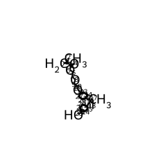 C=C(C)C(=O)OCCOCCOc1ccc(C(C)(I)c2ccc(O)cc2)cc1